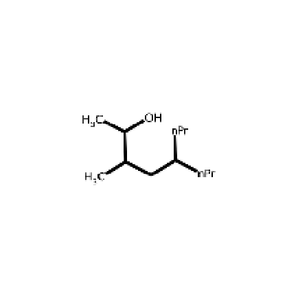 CCCC(CCC)CC(C)C(C)O